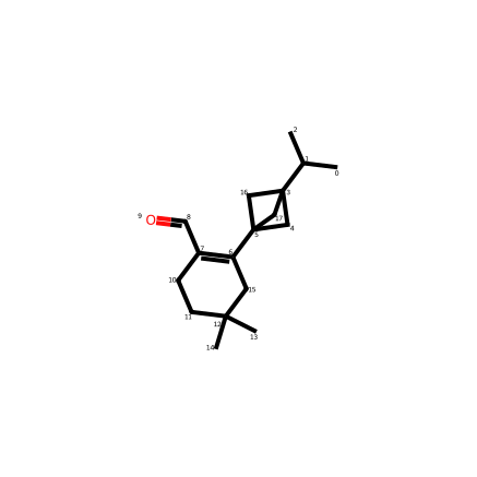 CC(C)C12CC(C3=C(C=O)CCC(C)(C)C3)(C1)C2